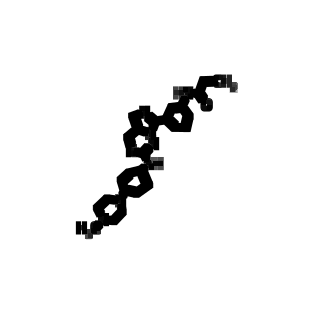 C=CC(=O)Nc1cccc(-c2ncc3cnc(Nc4ccc(N5CCN(C)CC5)cc4)nn23)c1